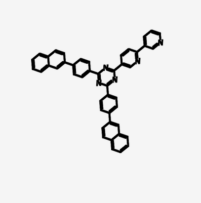 c1cncc(-c2ccc(-c3nc(-c4ccc(-c5ccc6ccccc6c5)cc4)nc(-c4ccc(-c5ccc6ccccc6c5)cc4)n3)cn2)c1